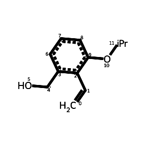 C=Cc1c([CH]O)cccc1OC(C)C